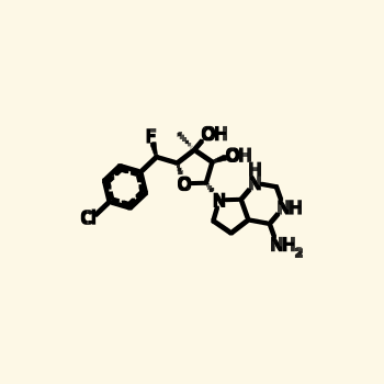 C[C@@]1(O)[C@@H]([C@H](F)c2ccc(Cl)cc2)O[C@@H](N2CCC3C(N)NCNC32)[C@@H]1O